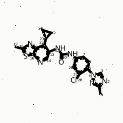 Cc1ncn(-c2ccc(NC(=O)Nc3cnc4sc(C)nc4c3C3CC3)cc2Cl)n1